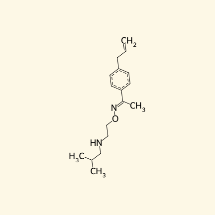 C=CCc1ccc(/C(C)=N/OCCNCC(C)C)cc1